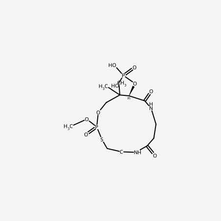 COP1(=O)OCC(C)(C)[C@@H](OP(=O)(O)O)C(=O)NCCC(=O)NCCS1